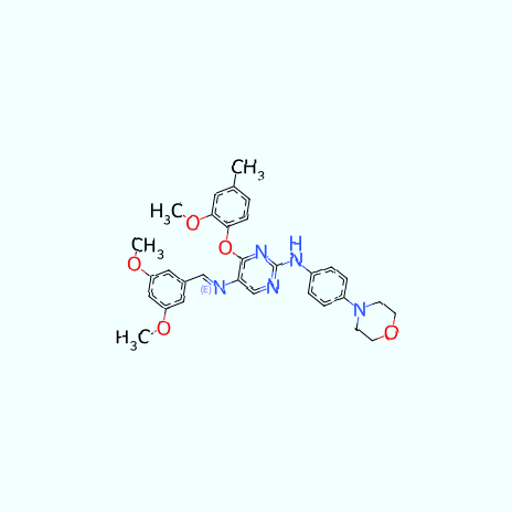 COc1cc(/C=N/c2cnc(Nc3ccc(N4CCOCC4)cc3)nc2Oc2ccc(C)cc2OC)cc(OC)c1